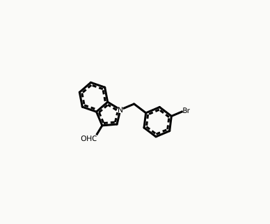 O=Cc1cn(Cc2cccc(Br)c2)c2ccccc12